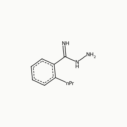 CCCc1ccccc1C(=N)NN